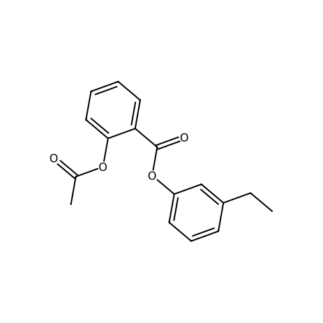 CCc1cccc(OC(=O)c2ccccc2OC(C)=O)c1